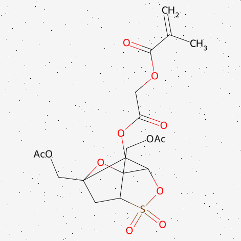 C=C(C)C(=O)OCC(=O)OC1C2OS(=O)(=O)C3CC1(COC(C)=O)OC23COC(C)=O